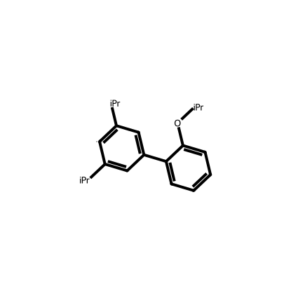 CC(C)Oc1ccccc1-c1cc(C(C)C)[c]c(C(C)C)c1